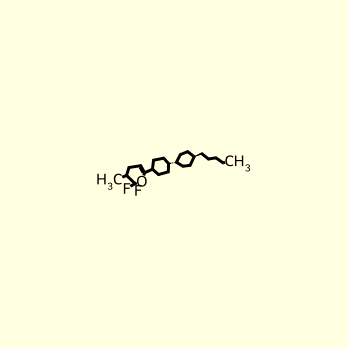 CCCCC[C@H]1CC[C@H](C2CCC(C3=CCC(C)C(F)(F)O3)CC2)CC1